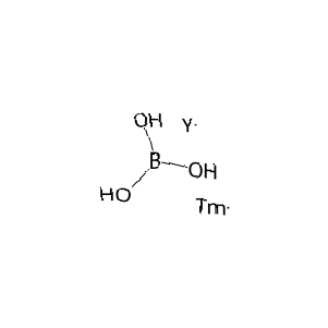 OB(O)O.[Tm].[Y]